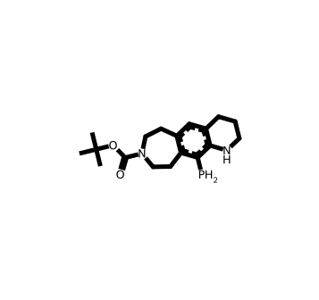 CC(C)(C)OC(=O)N1CCc2cc3c(c(P)c2CC1)NCCC3